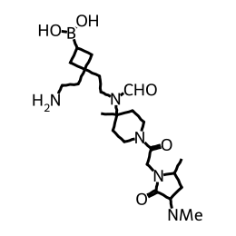 CNC1CC(C)N(CC(=O)N2CCC(C)(N(C=O)CCC3(CCN)CC(B(O)O)C3)CC2)C1=O